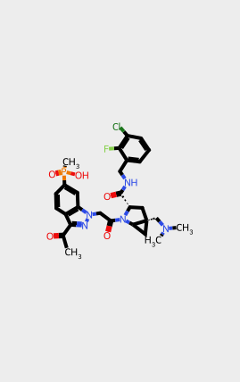 CC(=O)c1nn(CC(=O)N2C3C[C@]3(CN(C)C)C[C@H]2C(=O)NCc2cccc(Cl)c2F)c2cc(P(C)(=O)O)ccc12